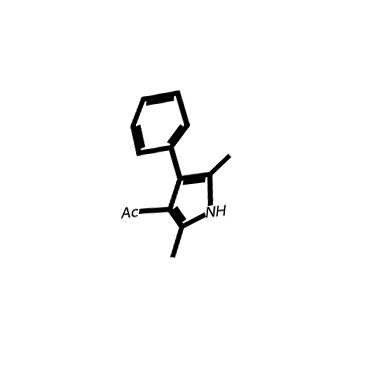 CC(=O)c1c(C)[nH]c(C)c1-c1ccccc1